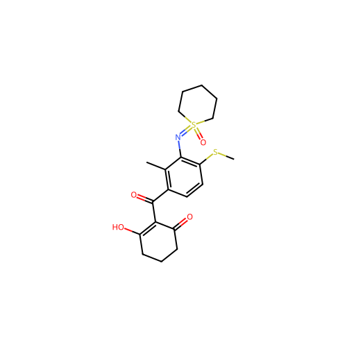 CSc1ccc(C(=O)C2=C(O)CCCC2=O)c(C)c1N=S1(=O)CCCCC1